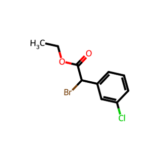 CCOC(=O)C(Br)c1cccc(Cl)c1